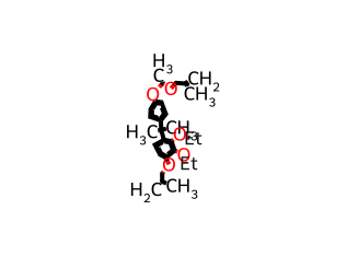 C=C(C)COc1ccc(C(C)(C)c2ccc(OC(C)OCC(=C)C)cc2)c(OCC)c1OCC